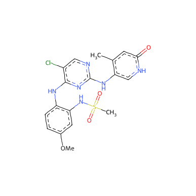 COc1ccc(Nc2nc(Nc3c[nH]c(=O)cc3C)ncc2Cl)c(NS(C)(=O)=O)c1